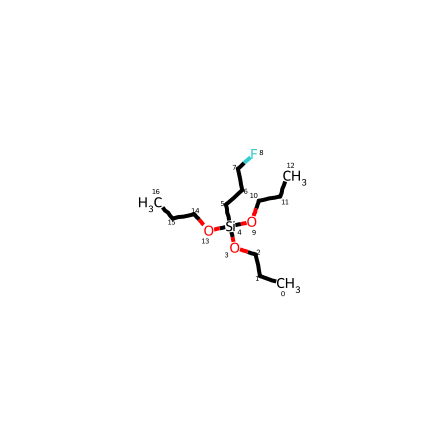 CCCO[Si](CCCF)(OCCC)OCCC